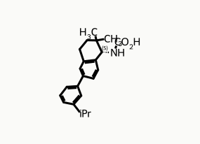 CC(C)c1cccc(-c2ccc3c(c2)CCC(C)(C)[C@@H]3NC(=O)O)c1